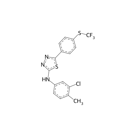 Cc1ccc(Nc2nnc(-c3ccc(SC(F)(F)F)cc3)s2)cc1Cl